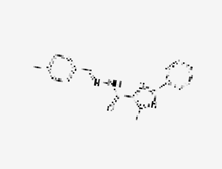 Cc1ccc(C=NNC(=O)c2oc(-c3ccccc3)nc2C)cc1